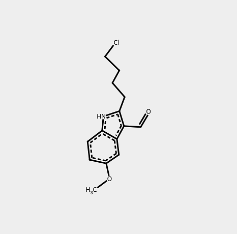 COc1ccc2[nH]c(CCCCCl)c(C=O)c2c1